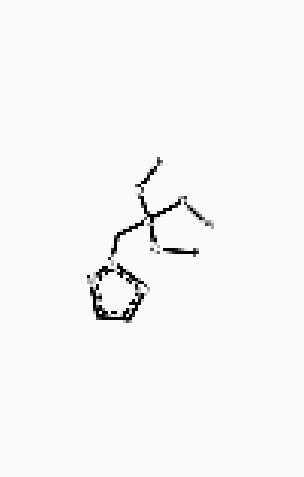 CCO[Si](Cn1nccn1)(OCC)OCC